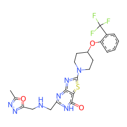 Cc1nnc(CNCc2nc3nc(N4CCC(Oc5ccccc5C(F)(F)F)CC4)sc3c(=O)[nH]2)o1